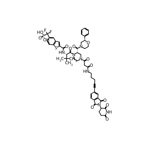 CC(C)(C)[C@H](NC(=O)c1cc2cc(C(F)(F)P(=O)(O)O)ccc2s1)C(=O)N1CCN(C(=O)CC(=O)NCCCC#Cc2ccc3c(c2)C(=O)N(C2CCC(=O)NC2=O)C3=O)C[C@H]1C(=O)N1CCO[C@H](c2ccccc2)C1